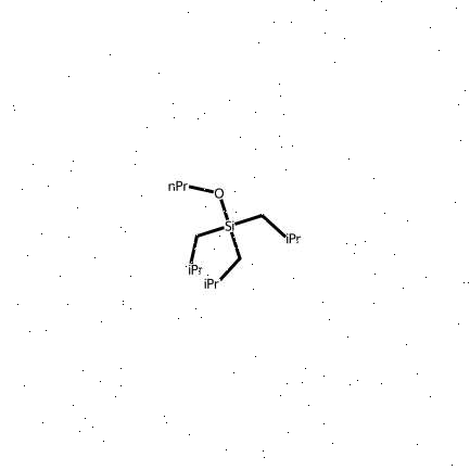 CCCO[Si](CC(C)C)(CC(C)C)CC(C)C